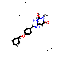 CC(C)n1c(=O)cc(NCc2ccc(OCc3ccccc3)cc2)[nH]c1=O